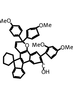 COc1ccc(C2(c3ccc(OC)cc3)C=Cc3c4c(c5cc(CO)c(-c6ccc(OC)cc6OC)cc5c3O2)-c2ccccc2C42CCCCC2)cc1